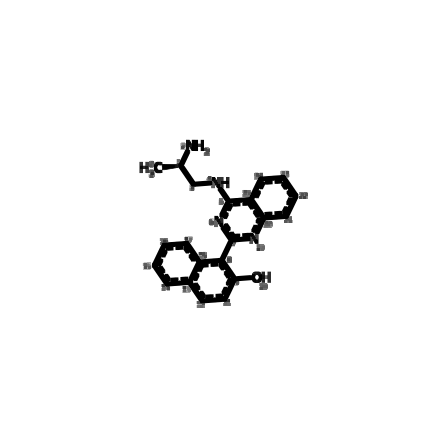 C[C@@H](N)CNc1nc(-c2c(O)ccc3ccccc23)nc2ccccc12